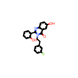 O=c1c2cc(O)ccc2nc(-c2ccccc2O)n1CCc1cccc(F)c1